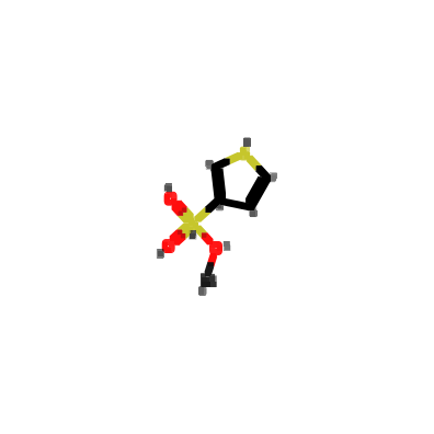 CCOS(=O)(=O)c1ccsc1